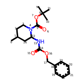 CC1CCN(C(=O)OC(C)(C)C)C(NC(=O)OCc2ccccc2)C1